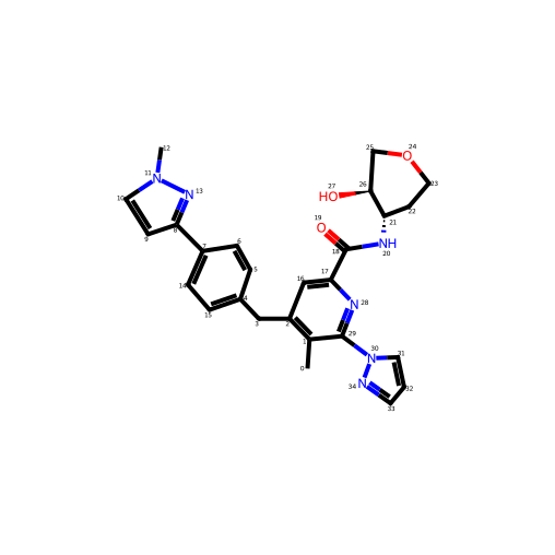 Cc1c(Cc2ccc(-c3ccn(C)n3)cc2)cc(C(=O)N[C@H]2CCOC[C@@H]2O)nc1-n1cccn1